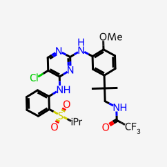 COc1ccc(C(C)(C)CNC(=O)C(F)(F)F)cc1Nc1ncc(Cl)c(Nc2ccccc2S(=O)(=O)C(C)C)n1